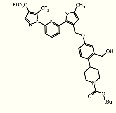 CCOC(=O)c1cnn(-c2cccc(-c3sc(C)cc3COc3ccc(C4CCN(C(=O)OC(C)(C)C)CC4)c(CO)c3)n2)c1C(F)(F)F